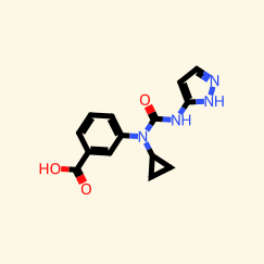 O=C(O)c1cccc(N(C(=O)Nc2ccn[nH]2)C2CC2)c1